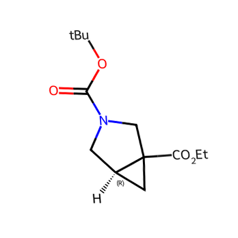 CCOC(=O)C12C[C@H]1CN(C(=O)OC(C)(C)C)C2